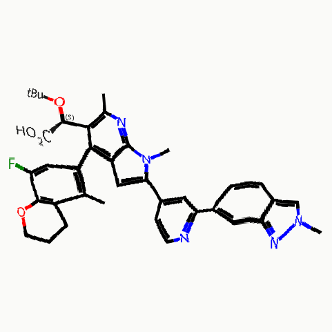 Cc1nc2c(cc(-c3ccnc(-c4ccc5cn(C)nc5c4)c3)n2C)c(-c2cc(F)c3c(c2C)CCCO3)c1[C@H](OC(C)(C)C)C(=O)O